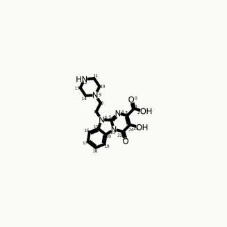 O=C(O)c1nc2n(CCN3CCNCC3)c3ccccc3n2c(=O)c1O